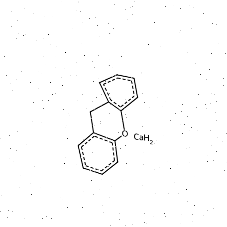 [CaH2].c1ccc2c(c1)Cc1ccccc1O2